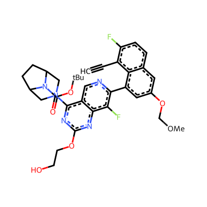 C#Cc1c(F)ccc2cc(OCOC)cc(-c3ncc4c(N5CC6CCC(C5)N6C(=O)OC(C)(C)C)nc(OCCO)nc4c3F)c12